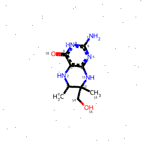 CC1Nc2c(nc(N)[nH]c2=O)NC1(C)CO